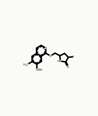 COc1cc2c(OCC3CC(F)C(=O)N3)nccc2cc1C